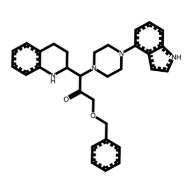 O=C(COCc1ccccc1)C(C1CCc2ccccc2N1)N1CCN(c2cccc3[nH]ccc23)CC1